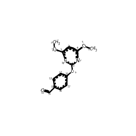 COc1cc(OC)nc(Oc2ccc(C=O)cc2)n1